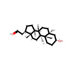 C[C@]12CC[C@@H](O)C[C@@H]1CC[C@@H]1[C@@H]2CC[C@]2(C)[C@@H](CC=O)CC[C@@H]12